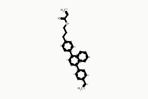 C=CC(=O)OCCCc1ccc(-c2ccc(-c3ccc(C=C)cc3)c3ccccc23)cc1